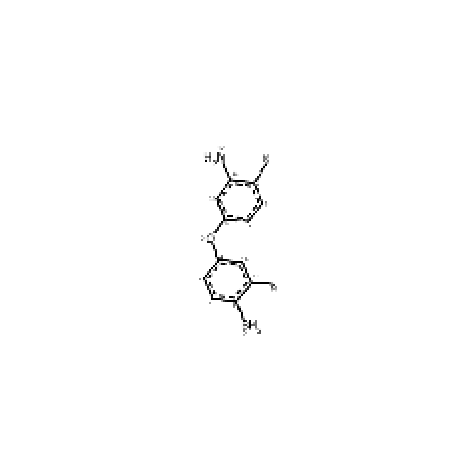 Bc1ccc(Oc2ccc(C)c(N)c2)cc1C